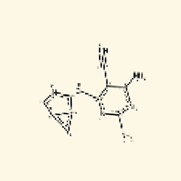 C#Cc1c(N)nc(N)nc1Cl.c1ncc2cc1-2